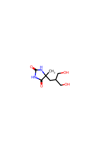 CC1(CC(CO)CO)NC(=O)NC1=O